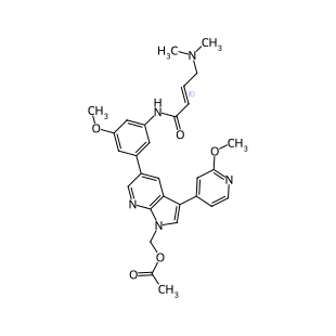 COc1cc(NC(=O)/C=C/CN(C)C)cc(-c2cnc3c(c2)c(-c2ccnc(OC)c2)cn3COC(C)=O)c1